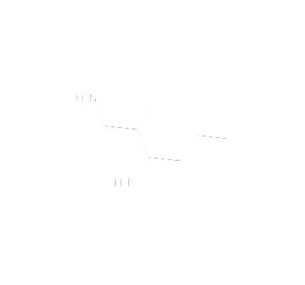 BC(CCC)C(C)CN